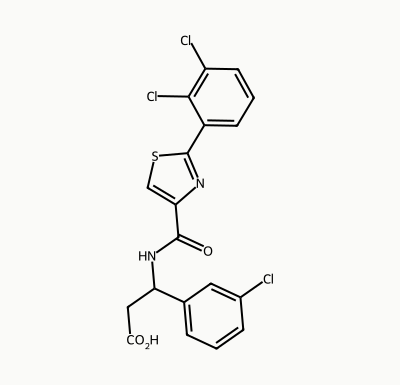 O=C(O)CC(NC(=O)c1csc(-c2cccc(Cl)c2Cl)n1)c1cccc(Cl)c1